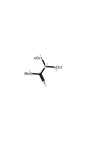 CCCCCCCCN(CCCCCCCC)C(=S)SC